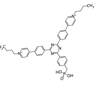 CCCC[n+]1ccc(-c2ccc(-c3nc(-c4ccc(CP(=O)(O)O)cc4)nc(-c4ccc(-c5cc[n+](CCCC)cc5)cc4)n3)cc2)cc1